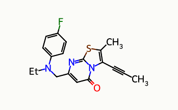 CC#Cc1c(C)sc2nc(CN(CC)c3ccc(F)cc3)cc(=O)n12